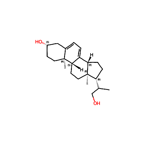 CC(CO)[C@H]1CC[C@H]2C3=CC=C4C[C@@H](O)CC[C@]4(C)[C@H]3CC[C@]12C